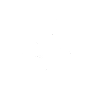 CC1(C)c2cccc(P3CCCC3(c3ccccc3)c3ccccc3)c2Oc2c(P3CCCC3(c3ccccc3)c3ccccc3)cccc21